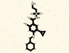 O=C(NS(=O)(=O)CCO)c1cc(C2CC2)c(OCC2CCCCC2)cc1F